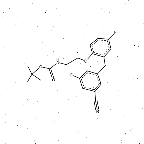 CC(C)(C)OC(=O)NCCOc1ccc(F)cc1Cc1cc(F)cc(C#N)c1